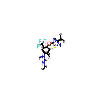 CCN=CN(C)c1cc(C(F)(F)F)c(Oc2nc(C(C)C)ns2)cc1C